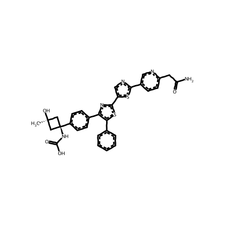 C[C@]1(O)C[C@](NC(=O)O)(c2ccc(-c3nc(-c4cnc(-c5ccc(CC(N)=O)nc5)s4)sc3-c3ccccc3)cc2)C1